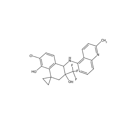 Cc1ccc2c(NC3c4ccc(Cl)c(O)c4C4(CC4)CC3(O)C(F)(F)F)cccc2n1